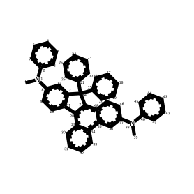 CN(c1ccccc1)c1ccc2c(c1)C(c1ccccc1)(c1ccccc1)c1c-2c2ccccc2c2cc(N(C)c3ccccc3)ccc12